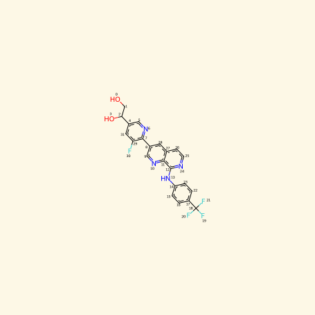 OCC(O)c1cnc(-c2cnc3c(Nc4ccc(C(F)(F)F)cc4)nccc3c2)c(F)c1